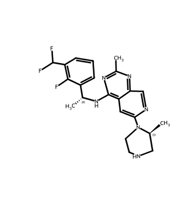 Cc1nc(N[C@H](C)c2cccc(C(F)F)c2F)c2cc(N3CCNC[C@@H]3C)ncc2n1